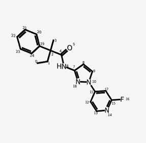 CCC(C)(C(=O)Nc1ccn(-c2ccnc(F)c2)n1)c1ccccc1